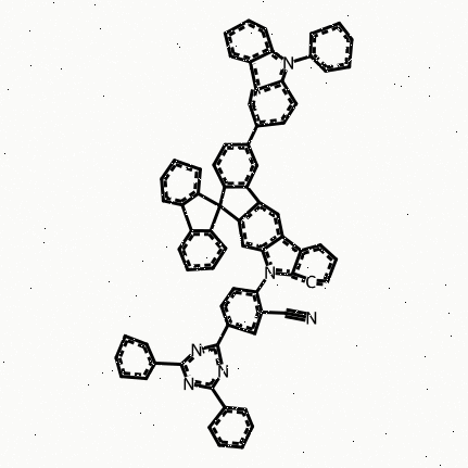 N#Cc1cc(-c2nc(-c3ccccc3)nc(-c3ccccc3)n2)ccc1-n1c2ccccc2c2cc3c(cc21)C1(c2ccccc2-c2ccccc21)c1ccc(-c2ccc4c(c2)c2ccccc2n4-c2ccccc2)cc1-3